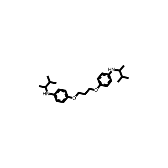 CC(C)C(C)Nc1ccc(OCCCOc2ccc(NC(C)C(C)C)cc2)cc1